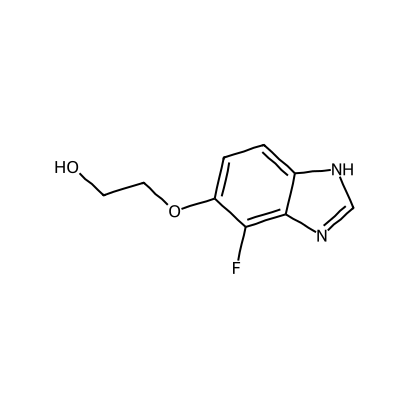 OCCOc1ccc2[nH]cnc2c1F